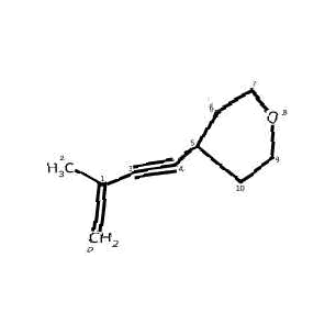 C=C(C)C#CC1CCOCC1